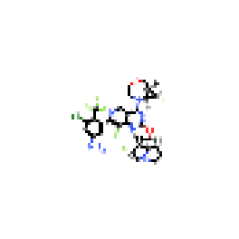 [2H]C([2H])(Oc1nc(N2CCOC[C@H]3[C@H](F)[C@H]32)c2cnc(-c3cc(N)cc(Cl)c3C(F)(F)F)c(F)c2n1)[C@@]12CCCN1C[C@H](F)C2